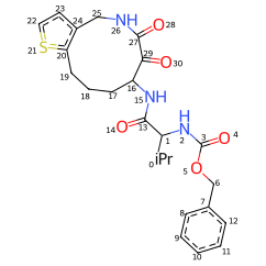 CC(C)C(NC(=O)OCc1ccccc1)C(=O)NC1CCCc2sccc2CNC(=O)C1=O